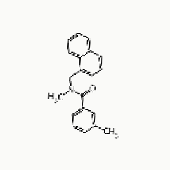 Cc1cccc(C(=O)N(C)Cc2cccc3ccccc23)c1